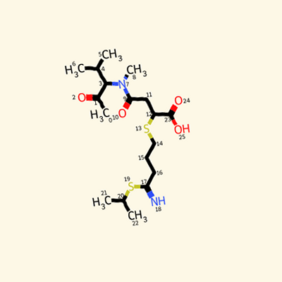 CC(=O)C(C(C)C)N(C)C(=O)CC(SCCCC(=N)SC(C)C)C(=O)O